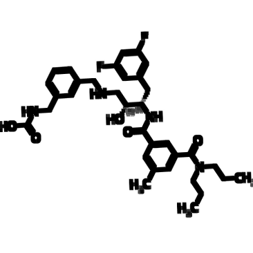 CCCN(CCC)C(=O)c1cc(C)cc(C(=O)N[C@@H](Cc2cc(F)cc(F)c2)[C@H](O)CNCc2cccc(CNC(=O)O)c2)c1